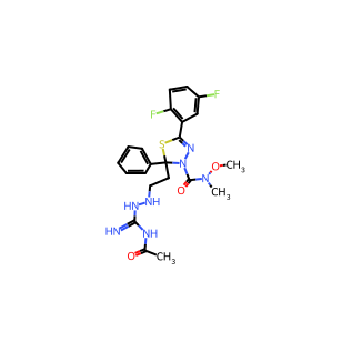 CON(C)C(=O)N1N=C(c2cc(F)ccc2F)SC1(CCNNC(=N)NC(C)=O)c1ccccc1